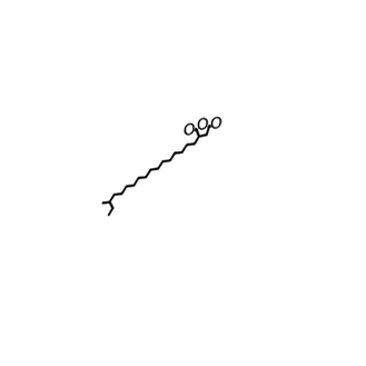 CCC(C)CCCCCCCCCCCCCCC1CC(=O)OC1=O